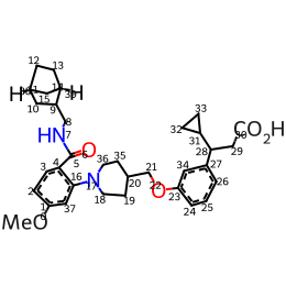 COc1ccc(C(=O)NCC2C[C@@H]3CC[C@H]2C3)c(N2CCC(COc3cccc(C(CC(=O)O)C4CC4)c3)CC2)c1